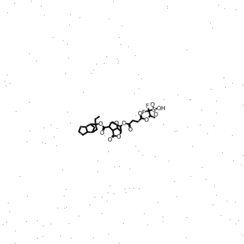 CCC1(OC(=O)C2C3OC4C(OC(=O)C42)C3OC(=O)CCC(=O)OC(C)C(F)(F)S(=O)(=O)O)CC2CC1C1CCCC21